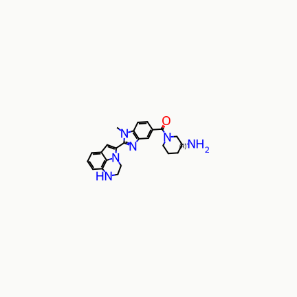 Cn1c(-c2cc3cccc4c3n2CCN4)nc2cc(C(=O)N3CCC[C@@H](N)C3)ccc21